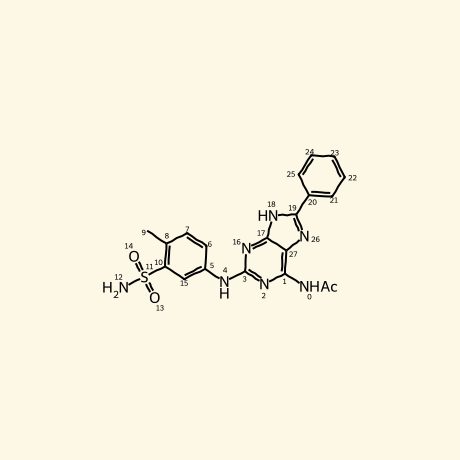 CC(=O)Nc1nc(Nc2ccc(C)c(S(N)(=O)=O)c2)nc2[nH]c(-c3ccccc3)nc12